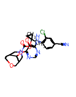 COc1c(Nc2ccc(C#N)cc2Cl)ncnc1OC1C2COCC1CN(C(=O)OC1(C)CC1)C2